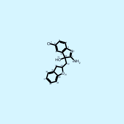 NC1=Nc2ccc(Cl)cc2C1(O)CC1Cc2ccccc2O1